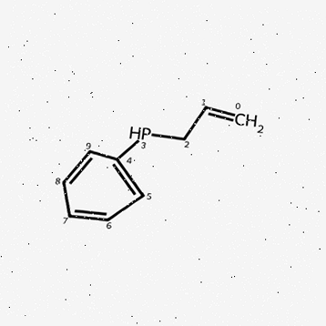 C=CCPc1ccccc1